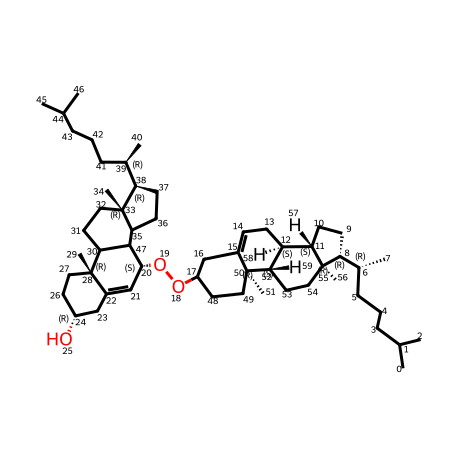 CC(C)CCC[C@@H](C)[C@H]1CC[C@H]2[C@@H]3CC=C4CC(OO[C@@H]5C=C6C[C@H](O)CC[C@]6(C)C6CC[C@@]7(C)C(CC[C@@H]7[C@H](C)CCCC(C)C)C65)CC[C@]4(C)[C@H]3CC[C@]12C